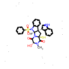 CN1C(=O)[C@@]2(S)C[C@]3(c4c[nH]c5ccccc45)c4ccccc4N(S(=O)(=O)c4ccccc4)[C@@H]3N2C(=O)[C@H]1O